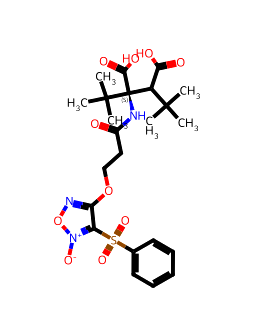 CC(C)(C)C(C(=O)O)[C@@](NC(=O)CCOc1no[n+]([O-])c1S(=O)(=O)c1ccccc1)(C(=O)O)C(C)(C)C